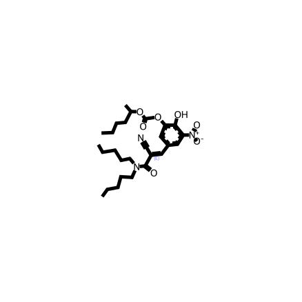 CCCCCN(CCCCC)C(=O)/C(C#N)=C/c1cc(OC(=O)OC(C)CCCC)c(O)c([N+](=O)[O-])c1